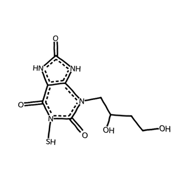 O=c1[nH]c2c(=O)n(S)c(=O)n(CC(O)CCO)c2[nH]1